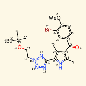 COc1ccc(C(=O)c2c(C)[nH]c(-c3nnn(CCO[Si](C)(C)C(C)(C)C)n3)c2C)cc1Br